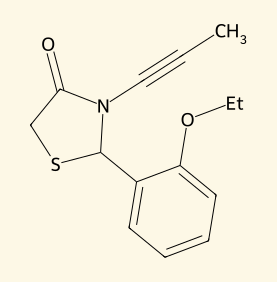 CC#CN1C(=O)CSC1c1ccccc1OCC